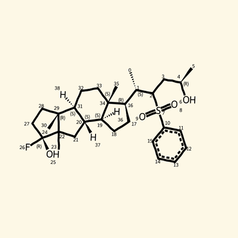 C[C@H](C(C[C@@H](C)O)S(=O)(=O)c1ccccc1)[C@H]1CC[C@H]2[C@@H]3CC4(C)[C@](O)(F)CC[C@]4(C)[C@H]3CC[C@]12C